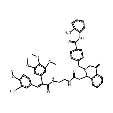 C=C1CN(Cc2ccc(C(=O)Nc3ccccc3N)cc2)C(CC(=O)NCCNC(=O)/C(=C/c2ccc(OC)c(O)c2)c2cc(OC)c(OC)c(OC)c2)c2ccccc21